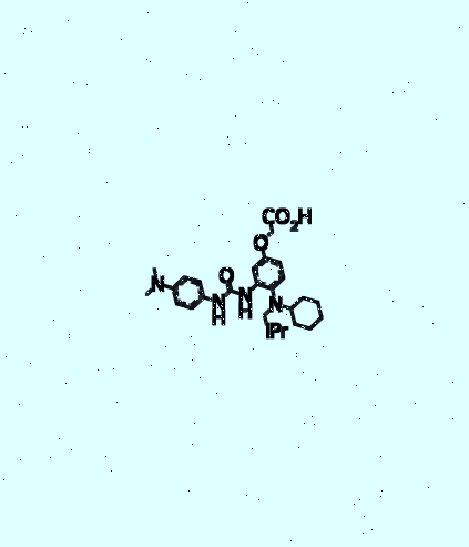 CC(C)CN(c1ccc(OCC(=O)O)cc1NC(=O)Nc1ccc(N(C)C)cc1)C1CCCCC1